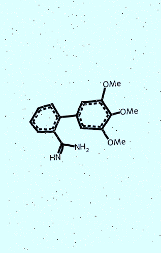 COc1cc(-c2ccccc2C(=N)N)cc(OC)c1OC